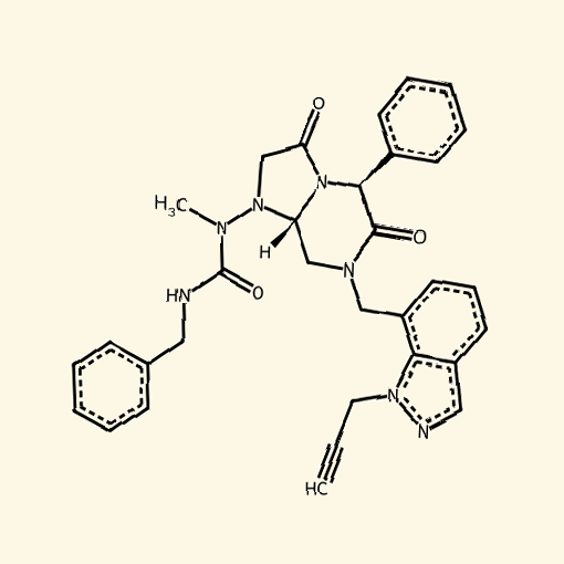 C#CCn1ncc2cccc(CN3C[C@H]4N(C(=O)CN4N(C)C(=O)NCc4ccccc4)[C@@H](c4ccccc4)C3=O)c21